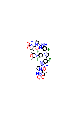 COC(=O)NC(C(=O)N1CCC[C@H]1c1nc2cc(C3CCC(c4cc5nc([C@@H]6CCCN6C(=O)[C@@H](NC(=O)OC)C(C)C)[nH]c5cc4F)N3c3cc(F)c(N4C[C@@H](C)O[C@@H](C)C4)c(F)c3)c(F)cc2[nH]1)C(C)C